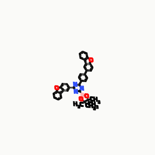 CC1(C)OB(c2nc(-c3ccc(-c4ccc5oc6ccccc6c5c4)cc3)nc(-c3ccc4oc5ccccc5c4c3)n2)OC1(C)C